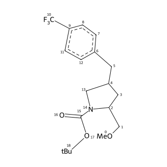 COCC1CC(Cc2ccc(C(F)(F)F)cc2)CN1C(=O)OC(C)(C)C